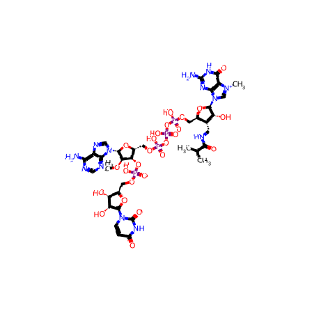 CO[C@@H]1[C@H](OP(=O)(O)OC[C@H]2O[C@@H](n3ccc(=O)[nH]c3=O)[C@H](O)[C@@H]2O)[C@@H](COP(=O)(O)OP(=O)(O)OP(=O)(O)OC[C@H]2O[C@@H](n3c[n+](C)c4c(=O)[nH]c(N)nc43)[C@H](O)[C@@H]2CNC(=O)C(C)C)O[C@H]1n1cnc2c(N)ncnc21